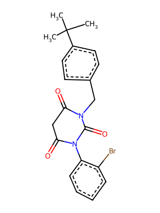 CC(C)(C)c1ccc(CN2C(=O)CC(=O)N(c3ccccc3Br)C2=O)cc1